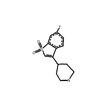 O=S1(=O)C=C(C2CC[N]CC2)c2ccc(F)cc21